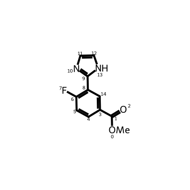 COC(=O)c1ccc(F)c(-c2ncc[nH]2)c1